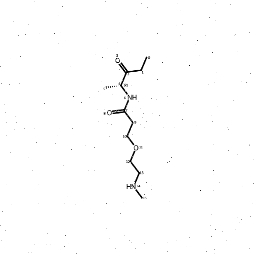 CCC(=O)[C@@H](C)NC(=O)CCOCCNC